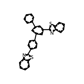 c1ccc(-c2cc(-c3ccc(-c4nc5ccccc5s4)cc3)cc(-c3nc4ccccc4s3)c2)cc1